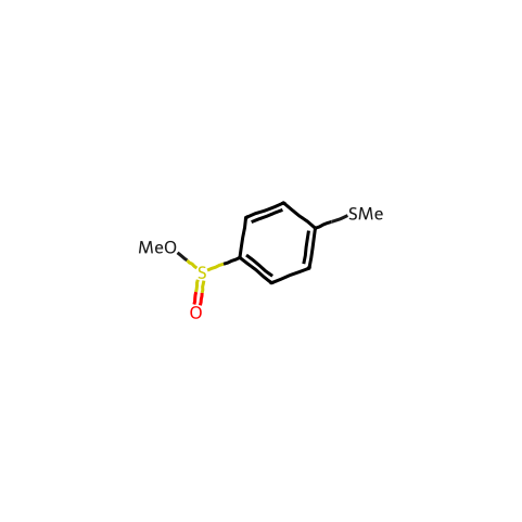 COS(=O)c1ccc(SC)cc1